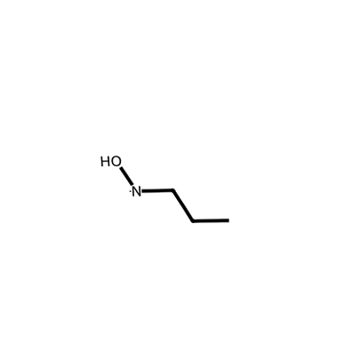 CCC[N]O